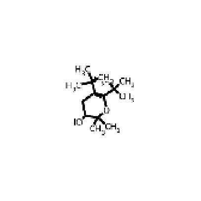 CC(C)(C)C1=C(C(C)(C)C)OC(C)(C)C(O)C1